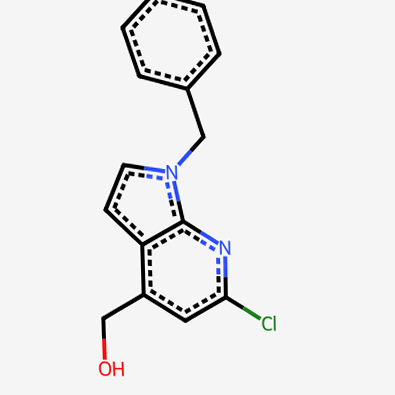 OCc1cc(Cl)nc2c1ccn2Cc1ccccc1